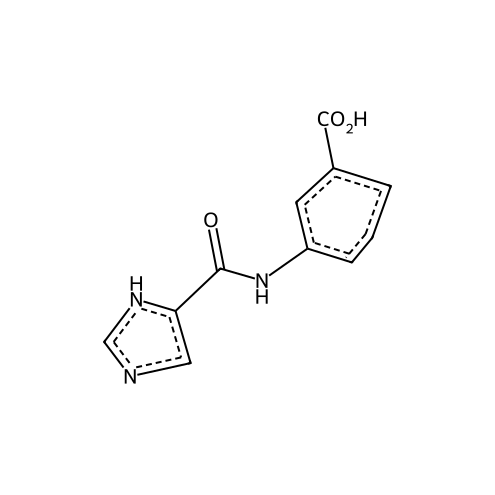 O=C(O)c1cccc(NC(=O)c2cnc[nH]2)c1